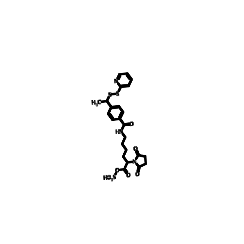 CC(SSc1ccccn1)c1ccc(C(=O)NCCCCC(C(=O)OS(=O)(=O)O)N2C(=O)CCC2=O)cc1